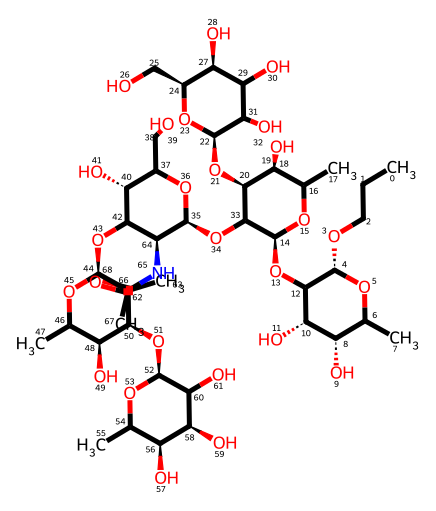 CCCO[C@@H]1OC(C)[C@H](O)[C@H](O)C1O[C@@H]1OC(C)[C@H](O)[C@H](O[C@H]2O[C@@H](CO)[C@@H](O)C(O)C2O)C1O[C@@H]1OC(CO)[C@@H](O)C(O[C@@H]2OC(C)[C@H](O)[C@H](O[C@@H]3OC(C)[C@H](O)[C@H](O)C3O)C2C)[C@@H]1NC(C)=O